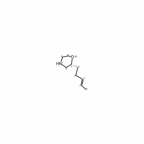 C/C=C/CC[C@@H]1CNCCO1